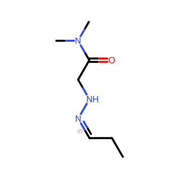 CC/C=N\NCC(=O)N(C)C